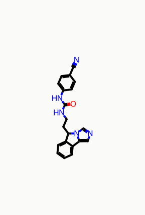 N#Cc1ccc(NC(=O)NCCC2c3ccccc3-c3cncn32)cc1